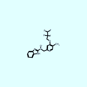 Cc1cnc(C[S+]([O-])c2nc3ccccc3[nH]2)cc1OCC(F)(F)C(F)F